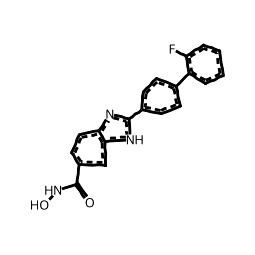 O=C(NO)c1ccc2nc(-c3ccc(-c4ccccc4F)cc3)[nH]c2c1